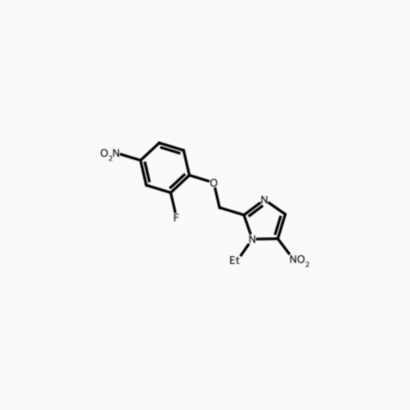 CCn1c([N+](=O)[O-])cnc1COc1ccc([N+](=O)[O-])cc1F